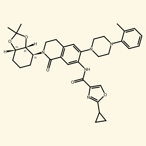 Cc1ccccc1N1CCN(c2cc3c(cc2NC(=O)c2coc(C4CC4)n2)C(=O)N([C@H]2CCC[C@@H]4OC(C)(C)O[C@@H]42)CC3)CC1